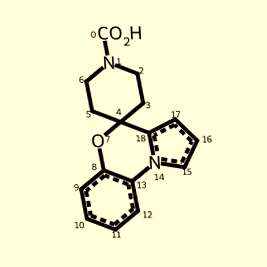 O=C(O)N1CCC2(CC1)Oc1ccccc1-n1cccc12